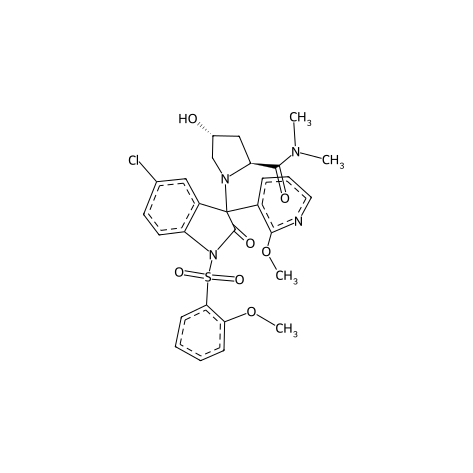 COc1ccccc1S(=O)(=O)N1C(=O)C(c2cccnc2OC)(N2C[C@H](O)C[C@H]2C(=O)N(C)C)c2cc(Cl)ccc21